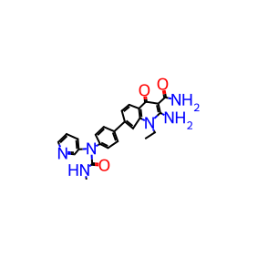 CCn1c(N)c(C(N)=O)c(=O)c2ccc(-c3ccc(N(C(=O)NC)c4cccnc4)cc3)cc21